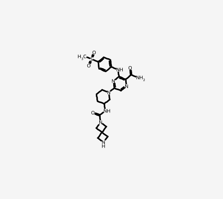 CS(=O)(=O)c1ccc(Nc2nc(N3CCCC(NC(=O)N4CC5(CNC5)C4)C3)cnc2C(N)=O)cc1